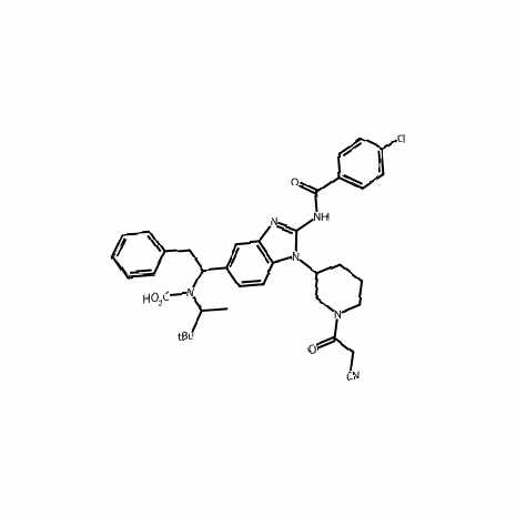 CC(N(C(=O)O)C(Cc1ccccc1)c1ccc2c(c1)nc(NC(=O)c1ccc(Cl)cc1)n2C1CCCN(C(=O)CC#N)C1)C(C)(C)C